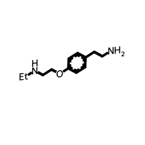 CCNCCOc1ccc(CCN)cc1